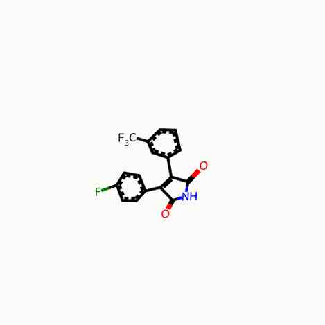 O=C1NC(=O)C(c2cccc(C(F)(F)F)c2)=C1c1ccc(F)cc1